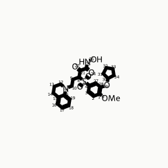 COc1ccc(S(=O)(=O)C(CCN2CCCc3ccccc32)C(=O)C(=O)NO)cc1OC1CCCC1